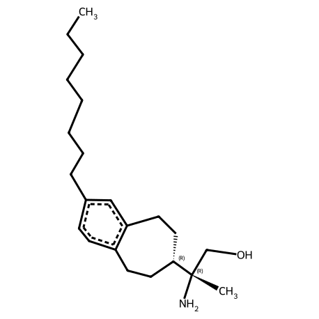 CCCCCCCCc1ccc2c(c1)CC[C@H]([C@@](C)(N)CO)CC2